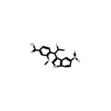 COc1cc(C(=O)O)ccc1C(c1c[nH]c2ccc([N+](=O)[O-])cc12)C(F)F